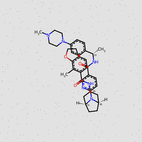 Cc1c(C(=O)N[C@H]2C[C@H]3CC[C@@H](C2)N3c2ccc(C(=O)N[C@@H](C)c3ccc(N4CCN(C)CC4)cc3)cn2)ccc2c1OCC2